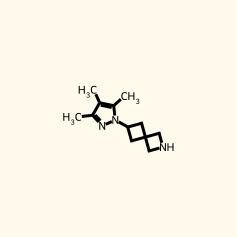 Cc1nn(C2CC3(CNC3)C2)c(C)c1C